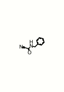 N#CC(=O)NCc1ccccc1